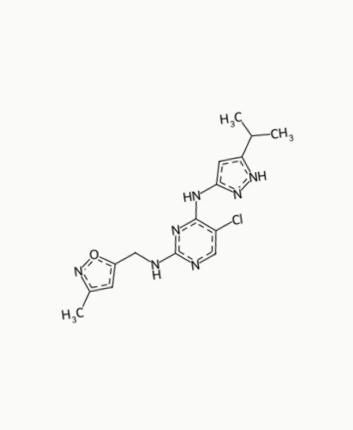 Cc1cc(CNc2ncc(Cl)c(Nc3cc(C(C)C)[nH]n3)n2)on1